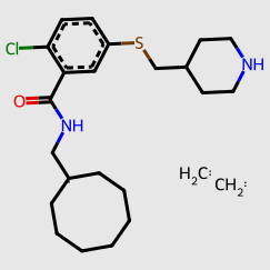 O=C(NC[C]1CCCCCCC1)c1cc(SCC2CCNCC2)ccc1Cl.[CH2].[CH2]